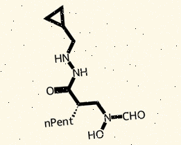 CCCCC[C@@H](CN(O)C=O)C(=O)NNCC1CC1